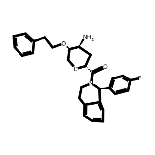 N[C@H]1C[C@H](C(=O)N2CCc3ccccc3[C@@H]2c2ccc(F)cc2)OC[C@@H]1OCCc1ccccc1